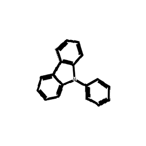 [c]1cccc2c1c1ccccc1n2-c1ccccc1